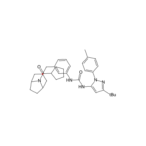 Cc1ccc(-n2nc(C(C)(C)C)cc2NC(=O)Nc2cccc(CC3CC4CCC(C3)N4C(=O)C3CCCC3)c2)cc1